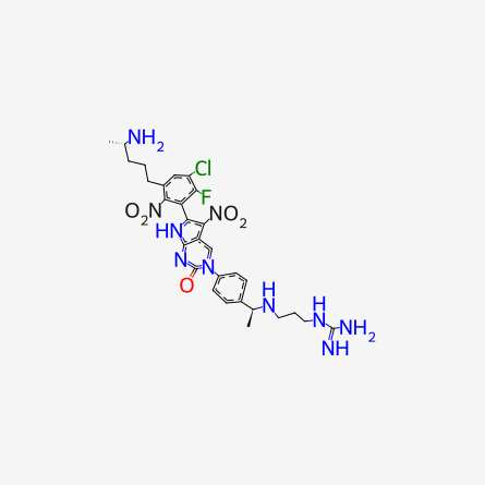 C[C@H](N)CCCc1cc(Cl)c(F)c(-c2[nH]c3nc(=O)n(-c4ccc([C@H](C)NCCCNC(=N)N)cc4)cc3c2[N+](=O)[O-])c1[N+](=O)[O-]